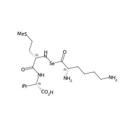 CSCC[C@H](N[Se]C(=O)[C@@H](N)CCCCN)C(=O)N[C@H](C(=O)O)C(C)C